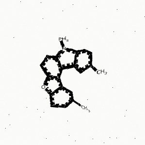 Cc1ccc2oc3ccc4c(c5cc(C)ccc5n4P)c3c2c1